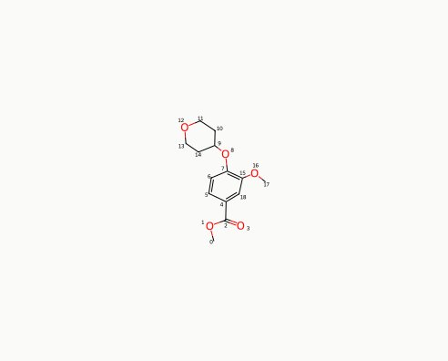 COC(=O)c1ccc(OC2CCOCC2)c(OC)c1